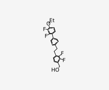 CCOc1ccc(-c2ccc(CCc3ccc(CO)c(F)c3F)cc2)c(F)c1F